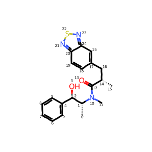 C[C@H]([C@H](O)c1ccccc1)N(C)C(=O)[C@@H](C)Cc1ccc2nsnc2c1